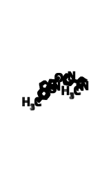 Cc1ccc2c(c1)CC[C@]21CC(Oc2ccc(-c3ccnn3C)nc2)=NO1